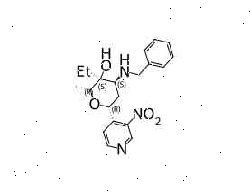 CC[C@]1(O)[C@@H](NCc2ccccc2)C[C@H](c2ccncc2[N+](=O)[O-])O[C@@H]1C